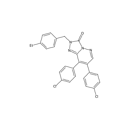 CCc1ccc(Cn2nc3c(-c4ccc(Cl)cc4)c(-c4ccc(Cl)cc4)cnn3c2=O)cc1